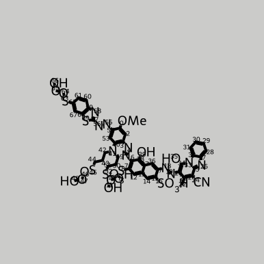 COc1cc(N=Nc2c(SOOO)cc3cc(S(=O)(=O)O)c(N=Nc4c(C)c(C#N)c5nc6ccccc6n5c4O)cc3c2O)c(N(CCCSOOO)CCCS(=O)(=O)O)cc1N=Nc1nc2ccc(SOOO)cc2s1